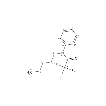 CCCCCN(C(=O)C(F)(F)F)c1ccccc1